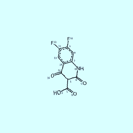 O=C(O)C1C(=O)Nc2cc(F)c(F)cc2C1=O